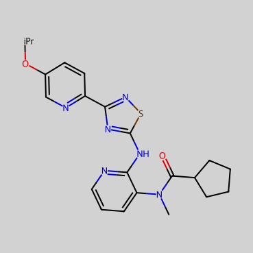 CC(C)Oc1ccc(-c2nsc(Nc3ncccc3N(C)C(=O)C3CCCC3)n2)nc1